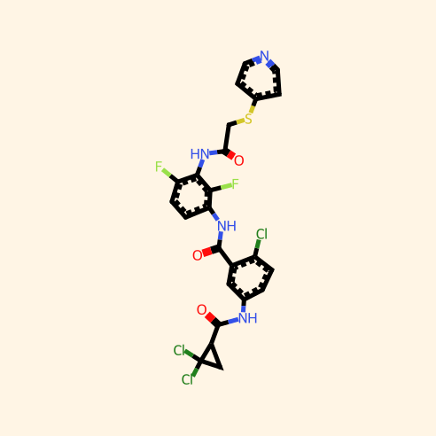 O=C(CSc1ccncc1)Nc1c(F)ccc(NC(=O)c2cc(NC(=O)C3CC3(Cl)Cl)ccc2Cl)c1F